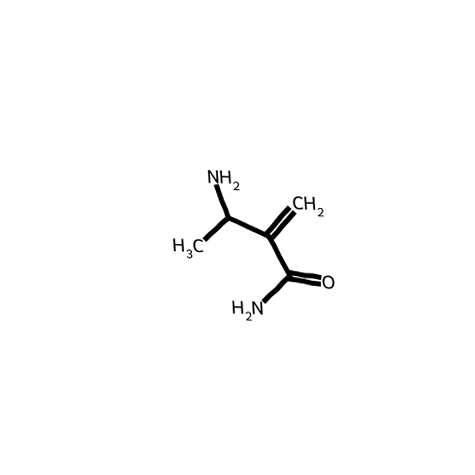 C=C(C(N)=O)C(C)N